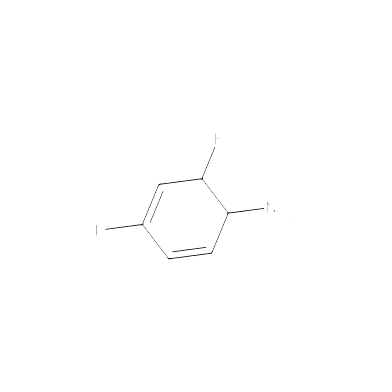 NC1C=CC(F)=CC1F